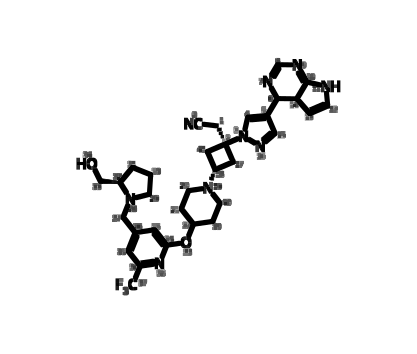 N#CC[C@]1(n2cc(C3N=CN=C4NC=CC43)cn2)C[C@H](N2CCC(Oc3cc(CN4CCC[C@@H]4CO)cc(C(F)(F)F)n3)CC2)C1